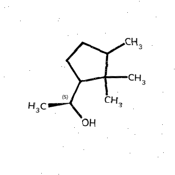 CC1CCC([C@H](C)O)C1(C)C